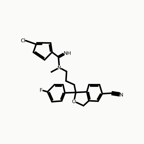 CN(CCCC1(c2ccc(F)cc2)OCc2cc(C#N)ccc21)C(=N)c1ccc(Cl)cc1